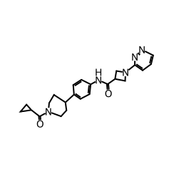 O=C(Nc1ccc(C2CCN(C(=O)C3CC3)CC2)cc1)C1CN(c2cccnn2)C1